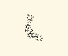 O=C(NC1CCN(CCN2CCCOCC2)CC1)c1nccc2nc(N3CCCCCC3)ccc12